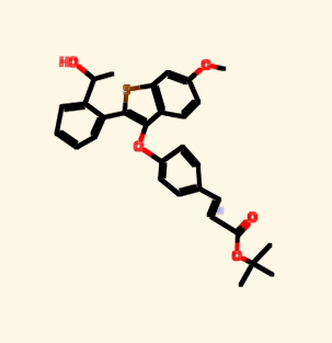 COc1ccc2c(Oc3ccc(/C=C/C(=O)OC(C)(C)C)cc3)c(-c3ccccc3C(C)O)sc2c1